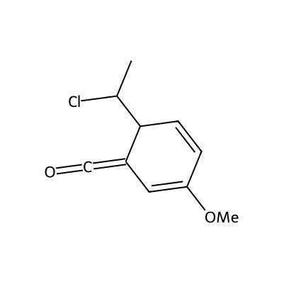 COC1=CC(=C=O)C(C(C)Cl)C=C1